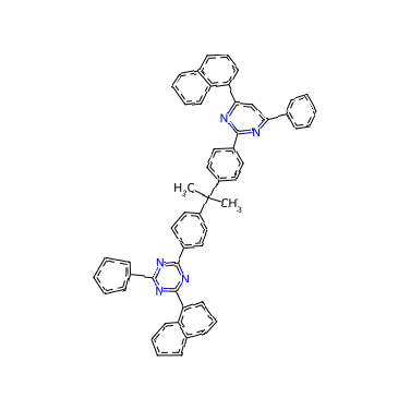 CC(C)(c1ccc(-c2nc(-c3ccccc3)cc(-c3cccc4ccccc34)n2)cc1)c1ccc(-c2nc(-c3ccccc3)nc(-c3cccc4ccccc34)n2)cc1